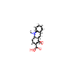 Cn1c2ccc(C(=O)O)c(=O)c-2cc2ccccc21